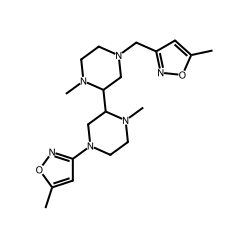 Cc1cc(CN2CCN(C)C(C3CN(c4cc(C)on4)CCN3C)C2)no1